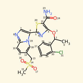 CC(Oc1nc(-c2cnc3ccc(CS(C)(=O)=O)cn23)sc1C(N)=O)c1ccccc1Cl